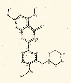 COc1cc(OC)c2c(=O)[nH]c(-c3ccc(OC)c(CN4CCOCC4)c3)nc2c1